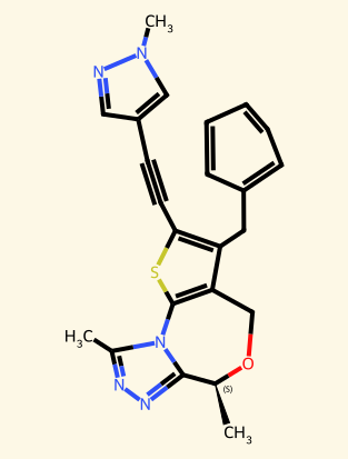 Cc1nnc2n1-c1sc(C#Cc3cnn(C)c3)c(Cc3ccccc3)c1CO[C@H]2C